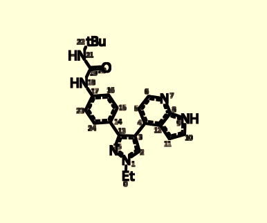 CCn1cc(-c2ccnc3[nH]ccc23)c(-c2ccc(NC(=O)NC(C)(C)C)cc2)n1